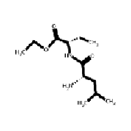 CCOC(=O)[C@H](CC)NC(=O)[C@@H](N)CC(C)C